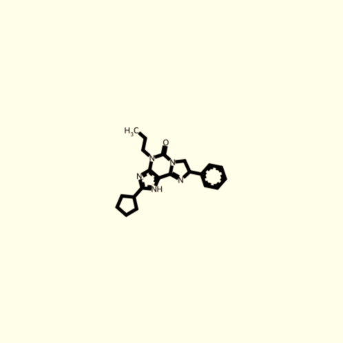 CCCN1C(=O)N2CC(c3ccccc3)N=C2c2[nH]c(C3CCCC3)nc21